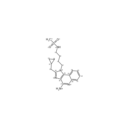 CS(=O)(=O)NCCCCn1c(CC2CC2)nc2c(N)nc3ccccc3c21